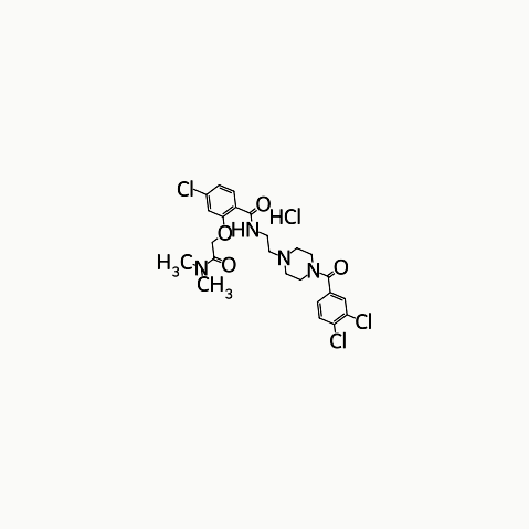 CN(C)C(=O)COc1cc(Cl)ccc1C(=O)NCCN1CCN(C(=O)c2ccc(Cl)c(Cl)c2)CC1.Cl